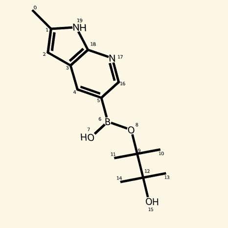 Cc1cc2cc(B(O)OC(C)(C)C(C)(C)O)cnc2[nH]1